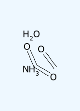 C=O.N.O.O=C=O